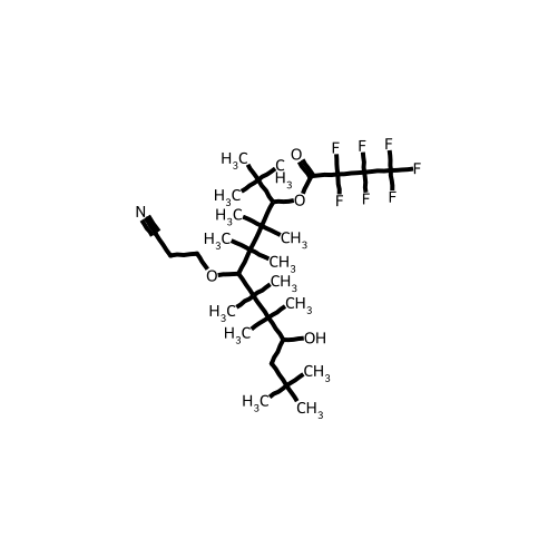 CC(C)(C)CC(O)C(C)(C)C(C)(C)C(OCCC#N)C(C)(C)C(C)(C)C(OC(=O)C(F)(F)C(F)(F)C(F)(F)F)C(C)(C)C